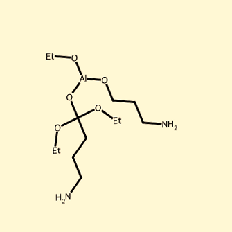 CC[O][Al]([O]CCCN)[O]C(CCCN)(OCC)OCC